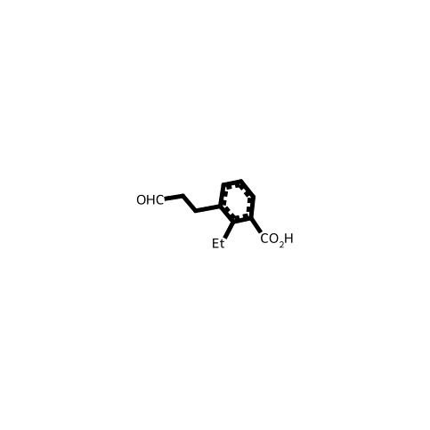 CCc1c(CCC=O)cccc1C(=O)O